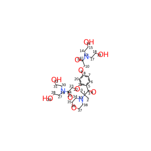 CC(C)(C(=O)c1ccc(OCC(=O)N(CCO)CCO)cc1OCC(=O)N(CCO)CCO)N1CCOCC1